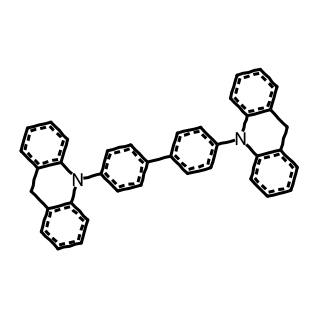 c1ccc2c(c1)Cc1ccccc1N2c1ccc(-c2ccc(N3c4ccccc4Cc4ccccc43)cc2)cc1